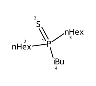 CCCCCCP(=S)(CCCCCC)C(C)CC